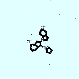 C1=CC[C]([Ti+2][CH]2C(n3ccc4ccccc43)=Cc3ccccc32)=C1.[Cl-].[Cl-]